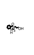 O=c1c2ccccc2[nH]c(=S)n1CCCO